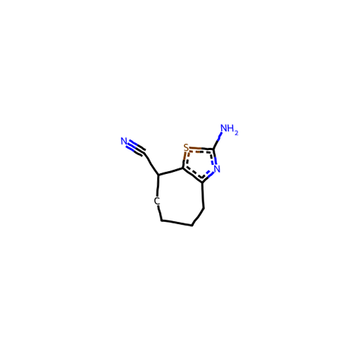 N#CC1CCCCc2nc(N)sc21